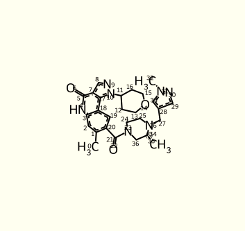 Cc1cc2[nH]c(=O)c3cnn(C4CCOCC4)c3c2cc1C(=O)N1CCN(Cc2cnn(C)c2)[C@@H](C)C1